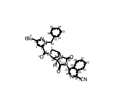 CC(C)(C)c1cc(C(=O)N2CC3CC2[C@H]2C(=O)N(c4cnc(C#N)c5ccccc45)C(=O)N32)n(Cc2ccccc2)n1